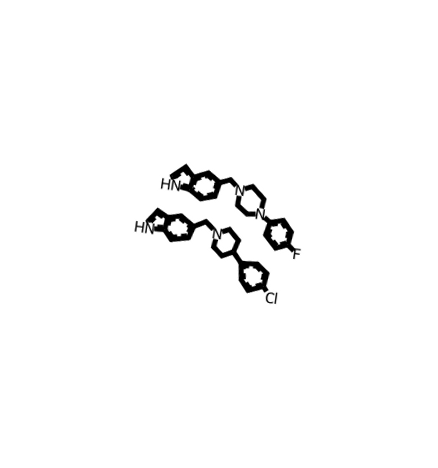 Clc1ccc(C2CCN(Cc3ccc4[nH]ccc4c3)CC2)cc1.Fc1ccc(N2CCN(Cc3ccc4[nH]ccc4c3)CC2)cc1